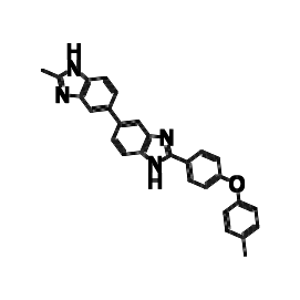 Cc1ccc(Oc2ccc(-c3nc4cc(-c5ccc6[nH]c(C)nc6c5)ccc4[nH]3)cc2)cc1